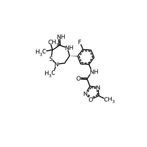 Cc1nc(C(=O)Nc2ccc(F)c([C@@H]3CN(C)SC(C)(C)C(=N)N3)c2)no1